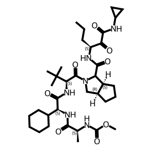 CCC[C@H](NC(=O)C1[C@H]2CCC[C@H]2CN1C(=O)[C@@H](NC(=O)[C@@H](NC(=O)[C@H](C)NC(=O)OC)C1CCCCC1)C(C)(C)C)C(=O)C(=O)NC1CC1